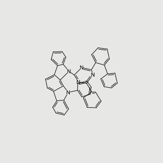 c1ccc(-c2nc(-c3ccccc3-c3ccccc3)nc(-n3c4ccccc4c4ccc5c6ccccc6n(-c6ccccc6)c5c43)n2)cc1